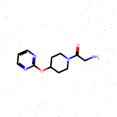 NCC(=O)N1CCC(Oc2ncccn2)CC1